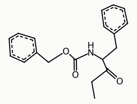 CCC(=O)C(Cc1ccccc1)NC(=O)OCc1ccccc1